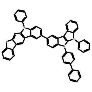 c1ccc(-c2ccc(-n3c4ccc(-c5ccc6c(c5)c5cc7c(cc5n6-c5ccccc5)sc5ccccc57)cc4c4c5ccccc5n(-c5ccccc5)c43)cc2)cc1